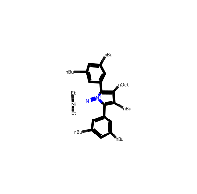 CCCCCCCCC1=C(c2cc(CCCC)cc(CCCC)c2)[N+](=[N-])C(c2cc(CCCC)cc(CCCC)c2)=C1CCCC.C[CH2][Ni][CH2]C